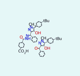 Cn1nc(C(=NNC(=O)c2ccc(C(=O)O)cc2)c2ccccc2)c(O)c1-c1ccc(C(C)(C)C)cc1.Cn1nc(C(=O)c2ccccc2)c(O)c1-c1ccc(C(C)(C)C)cc1